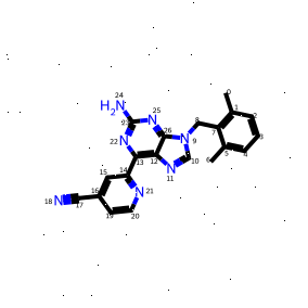 Cc1cccc(C)c1Cn1cnc2c(-c3cc(C#N)ccn3)nc(N)nc21